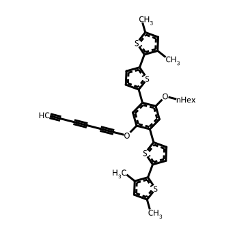 C#CC#CC#COc1cc(-c2ccc(-c3sc(C)cc3C)s2)c(OCCCCCC)cc1-c1ccc(-c2sc(C)cc2C)s1